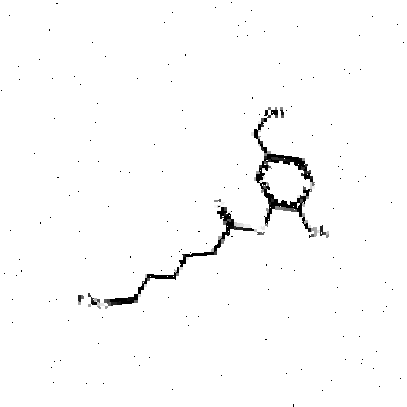 CCCCCCCCCCCCCCCC(=O)Oc1cc(CO)cnc1C